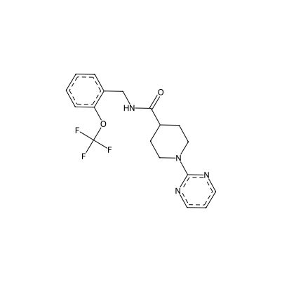 O=C(NCc1ccccc1OC(F)(F)F)C1CCN(c2ncccn2)CC1